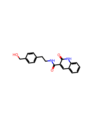 O=C(NCCc1ccc(CO)cc1)c1cc2ccccc2[nH]c1=O